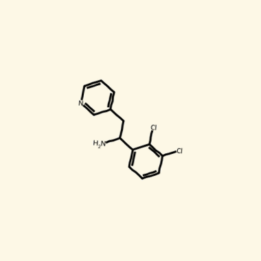 NC(Cc1cccnc1)c1cccc(Cl)c1Cl